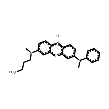 CN(CCCC(=O)O)c1ccc2nc3ccc(N(C)c4ccccc4)cc3[s+]c2c1.[Cl-]